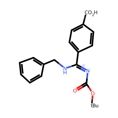 CC(C)(C)OC(=O)/N=C(\NCc1ccccc1)c1ccc(C(=O)O)cc1